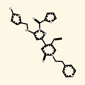 C=Cc1cn(CCc2ccncc2)c(=O)cc1-c1cc(NCc2ccc(Cl)s2)n(C(=O)c2ccco2)n1